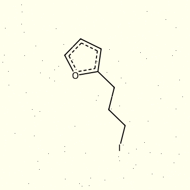 ICCCc1ccco1